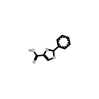 O=C(O)C1=COC(c2ccccc2)O1